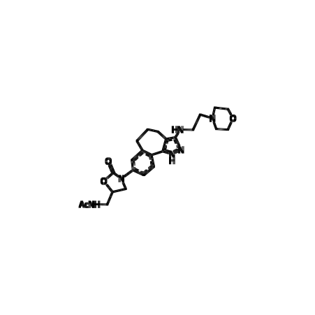 CC(=O)NCC1CN(c2ccc3c(c2)CCCc2c(NCCN4CCOCC4)n[nH]c2-3)C(=O)O1